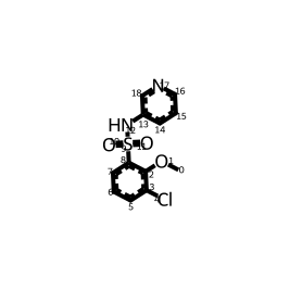 COc1c(Cl)cccc1S(=O)(=O)Nc1cccnc1